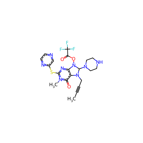 CC#CCN1c2c(nc(Sc3cnccn3)n(C)c2=O)N(OC(=O)C(F)(F)F)C1N1CCNCC1